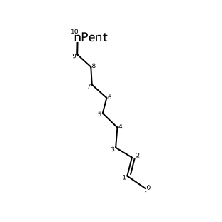 [CH2]/C=C/CCCCCCCCCCC[CH2]